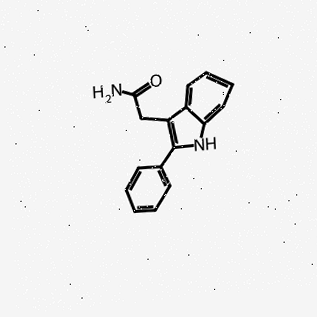 NC(=O)Cc1c(-c2ccccc2)[nH]c2ccccc12